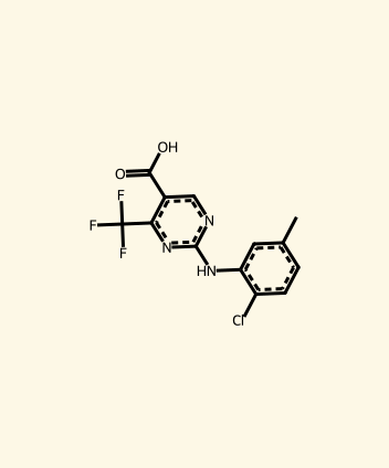 Cc1ccc(Cl)c(Nc2ncc(C(=O)O)c(C(F)(F)F)n2)c1